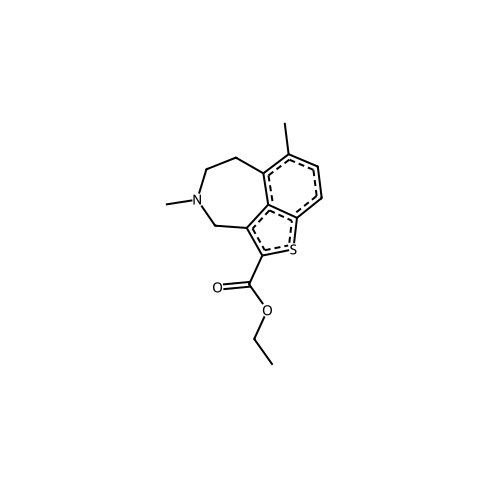 CCOC(=O)c1sc2ccc(C)c3c2c1CN(C)CC3